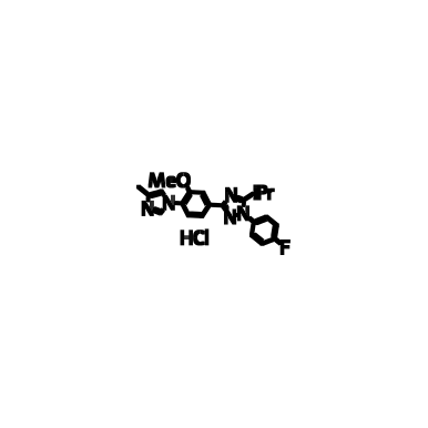 COc1cc(-c2nc(C(C)C)n(-c3ccc(F)cc3)n2)ccc1-n1cnc(C)c1.Cl